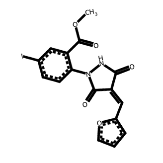 COC(=O)c1cc(I)ccc1N1NC(=O)C(=Cc2ccco2)C1=O